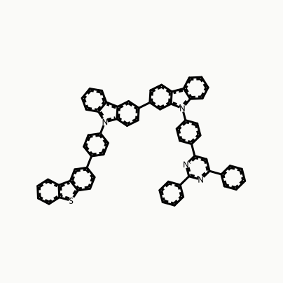 c1ccc(-c2cc(-c3ccc(-n4c5ccccc5c5ccc(-c6ccc7c(c6)c6ccccc6n7-c6ccc(-c7ccc8sc9ccccc9c8c7)cc6)cc54)cc3)nc(-c3ccccc3)n2)cc1